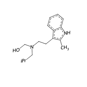 Cc1[nH]c2ccccc2c1CCN(CO)CC(C)C